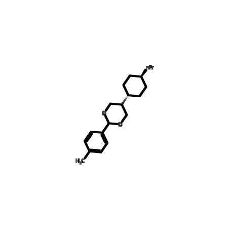 CCC[C@H]1CC[C@H](C2COC(c3ccc(C)cc3)OC2)CC1